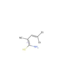 CCC(=C/C(C#N)=C(\N)S)CC